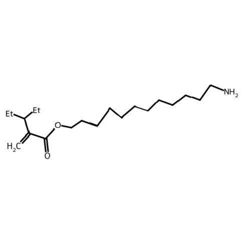 C=C(C(=O)OCCCCCCCCCCCCN)C(CC)CC